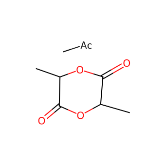 CC(C)=O.CC1OC(=O)C(C)OC1=O